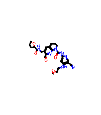 COCCNc1cc(NC(=O)N2CCCc3cc(CNC(=O)C4CCCO4)c(C=O)nc32)ncc1C#N